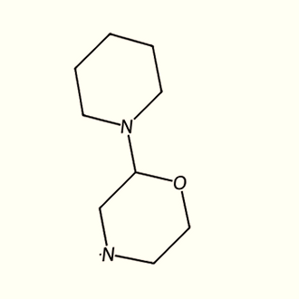 C1CCN(C2C[N]CCO2)CC1